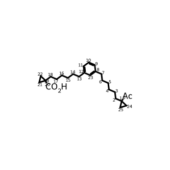 CC(=O)C1(CCCCCCc2cccc(CCCCCCC3(C(=O)O)CC3)c2)CC1